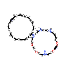 CN1CCCCO/C=C\OCCNCCOCCOCCN(C2CCCCCCCCCCC/C=C/CCCCCCCCCCCC2)CCN(C)CC1